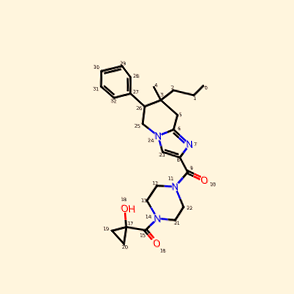 CCCC1(C)Cc2nc(C(=O)N3CCN(C(=O)C4(O)CC4)CC3)cn2CC1c1ccccc1